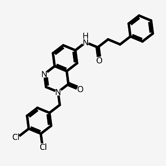 O=C(CCc1ccccc1)Nc1ccc2ncn(Cc3ccc(Cl)c(Cl)c3)c(=O)c2c1